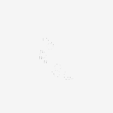 CNC(=O)c1ccnc2c(CCNc3cc(-c4ccnc(NC5CC5)c4)ncn3)cccc12